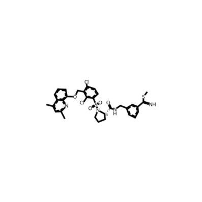 CSC(=N)c1cccc(CNC(=O)[C@@H]2CCCN2S(=O)(=O)c2ccc(Cl)c(COc3cccc4c(C)cc(C)nc34)c2Cl)c1